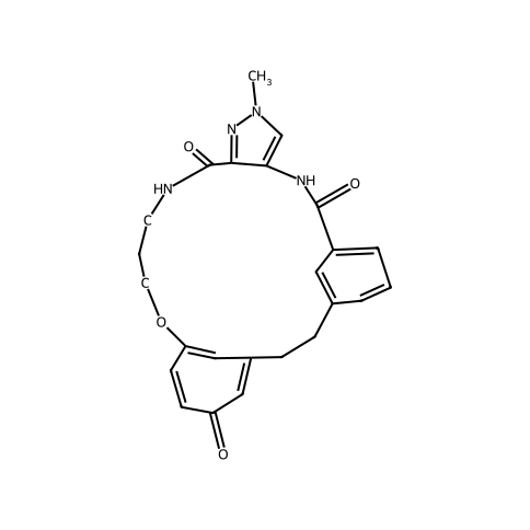 Cn1cc2c(n1)C(=O)NCCCOc1ccc(=O)cc(c1)CCc1cccc(c1)C(=O)N2